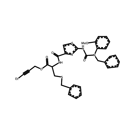 CCC#CCOC(=O)C(CSCc1ccccc1)NC(=O)c1csc(NC(=O)N(Cc2ccccc2)c2ccccc2OC)n1